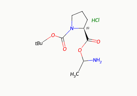 CC(N)OC(=O)[C@@H]1CCCN1C(=O)OC(C)(C)C.Cl